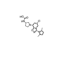 Cc1ccc(C)n1-c1noc2c(N3CCC(NC(=O)O)C3)cc(Cl)cc12